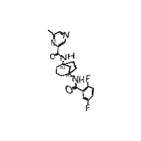 Cc1cncc(C(=O)N[C@@]23CCC[C@@](NC(=O)c4cc(F)ccc4F)(CC2)C3)n1